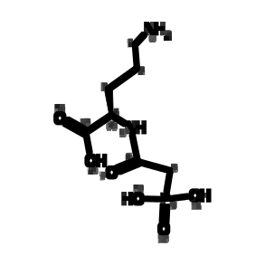 NCCC[C@@H](NC(=O)CP(=O)(O)O)C(=O)O